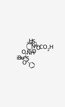 CC[C@H](C)[C@H](SC(=O)c1ccccc1)C(=O)N[C@H]1CC[C@H](C)[C@H]2SC[C@@H](OC(=O)O)N2C1=O